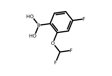 OB(O)c1ccc(F)cc1OC(F)F